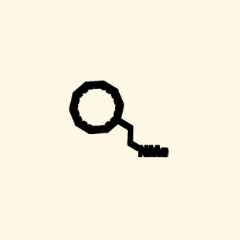 CNCCc1ccccccccc1